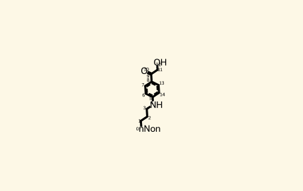 CCCCCCCCCCCCNc1ccc(C(=O)CO)cc1